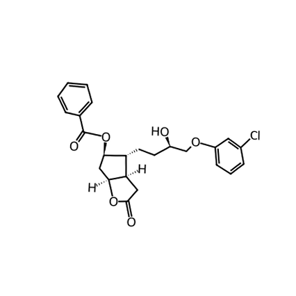 O=C1C[C@@H]2[C@@H](CC[C@@H](O)COc3cccc(Cl)c3)[C@H](OC(=O)c3ccccc3)C[C@@H]2O1